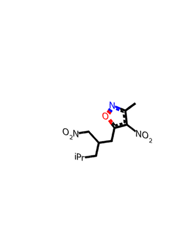 Cc1noc(CC(CC(C)C)C[N+](=O)[O-])c1[N+](=O)[O-]